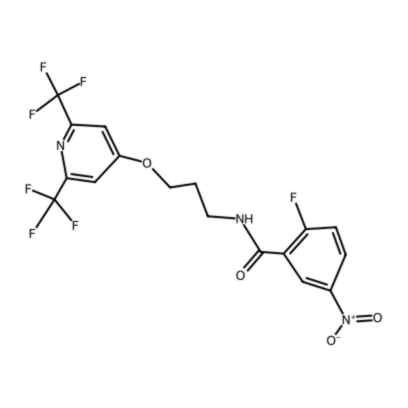 O=C(NCCCOc1cc(C(F)(F)F)nc(C(F)(F)F)c1)c1cc([N+](=O)[O-])ccc1F